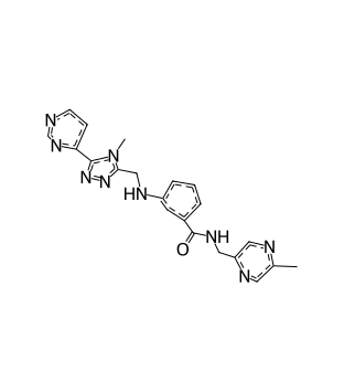 Cc1cnc(CNC(=O)c2cccc(NCc3nnc(-c4ccncn4)n3C)c2)cn1